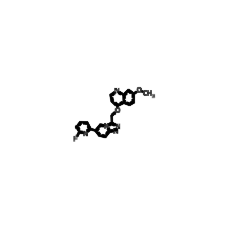 COc1ccc2c(OCc3nnc4ccc(-c5cccc(F)n5)cn34)ccnc2c1